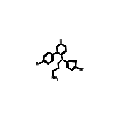 NCCC[C@@H](C1=CCNC[C@@H]1c1ccc(Br)cc1)c1ccc(Br)cc1